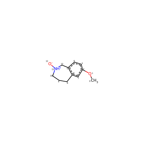 COc1ccc2c(c1)CCC[NH+]([O-])C2